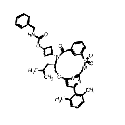 Cc1cccc(C)c1-c1cc2nc(n1)NS(=O)(=O)c1cccc(c1)C(=O)N([C@H]1C[C@H](OC(=O)NCc3ccccc3)C1)[C@H](CC(C)C)CO2